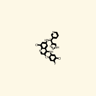 N#Cc1cnc2c(Cl)cc(N[C@@H](c3cccnc3)c3c[nH]nn3)cc2c1Nc1ccc(F)c(Cl)c1